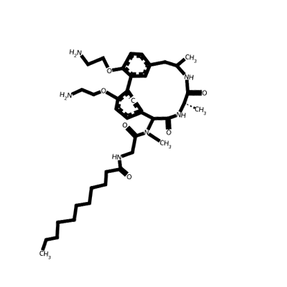 CCCCCCCCCCC(=O)NCC(=O)N(C)C1C(=O)N[C@@H](C)C(=O)NC(C)Cc2ccc(OCCN)c(c2)-c2cc1ccc2OCCN